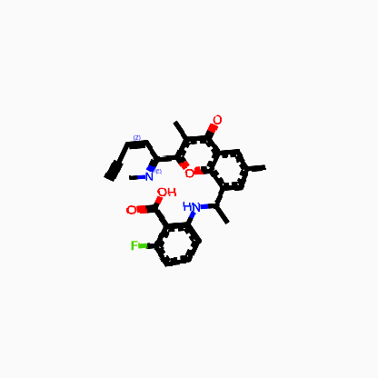 C#C/C=C\C(=N/C)c1oc2c(C(C)Nc3cccc(F)c3C(=O)O)cc(C)cc2c(=O)c1C